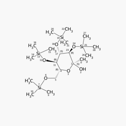 C[C@]1(O)O[C@H](CO[Si](C)(C)C)[C@@H](O[Si](C)(C)C)[C@H](O[Si](C)(C)C)[C@H]1O[Si](C)(C)C